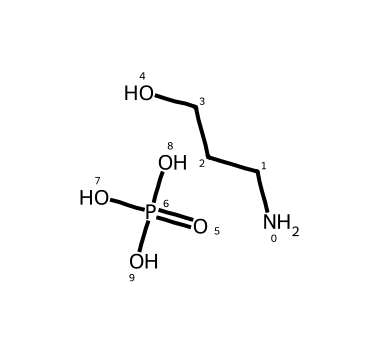 NCCCO.O=P(O)(O)O